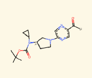 [Li][C](=O)c1cnc(N2CC[C@@H](N(C(=O)OC(C)(C)C)C3CC3)C2)cn1